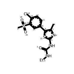 CCNC(=O)Nc1nc(C)c(-c2ccc(Cl)c(S(C)(=O)=O)c2)s1